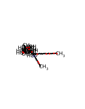 CCCCCCCCCCCCC/C=C/[C@@H](O)[C@H](CO[C@@H]1OC(CO)[C@@H](O[C@@H]2OC(CO)[C@H](O)[C@H](O[C@@H]3OC(CO)[C@@H](O[C@@H]4OC(CO)[C@H](O)[C@H](O)C4O)[C@H](O)C3NC(C)=O)C2O)[C@H](O)C1O)NC(=O)CCCCCCCCCCCCCCCCCCCCCCCCC